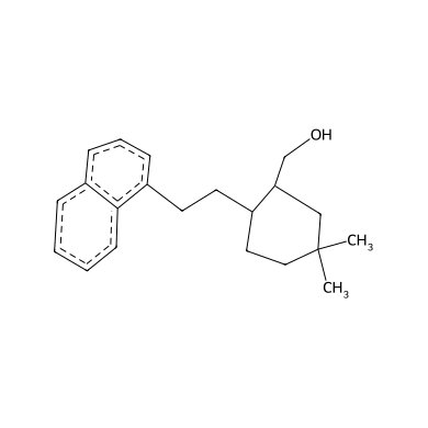 CC1(C)CCC(CCc2cccc3ccccc23)C(CO)C1